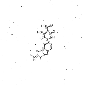 CNC1Cc2cc3ccc(-c4[nH]c(=O)c(C(=O)O)c(O)c4C)cc3n2C1